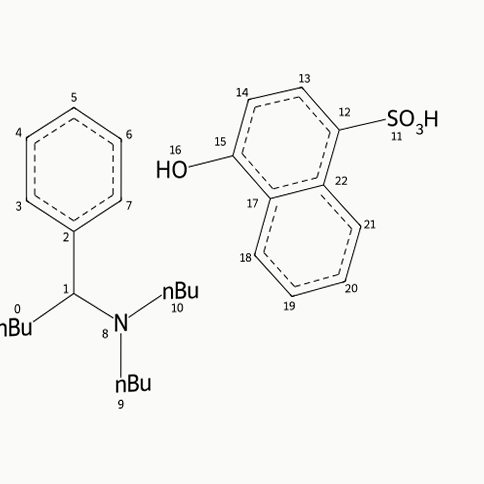 CCCCC(c1ccccc1)N(CCCC)CCCC.O=S(=O)(O)c1ccc(O)c2ccccc12